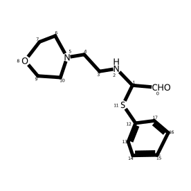 O=CC(NCCN1CCOCC1)Sc1cc[c]cc1